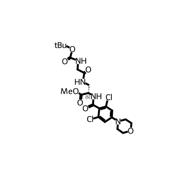 COC(=O)[C@H](CNC(=O)CNC(=O)OC(C)(C)C)NC(=O)c1c(Cl)cc(N2CCOCC2)cc1Cl